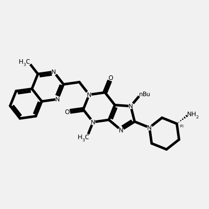 CCCCn1c(N2CCC[C@@H](N)C2)nc2c1c(=O)n(Cc1nc(C)c3ccccc3n1)c(=O)n2C